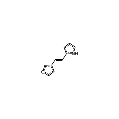 C(=Cc1ccc[nH]1)c1ccoc1